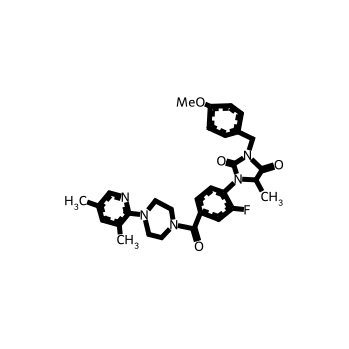 COc1ccc(CN2C(=O)C(C)N(c3ccc(C(=O)N4CCN(c5ncc(C)cc5C)CC4)cc3F)C2=O)cc1